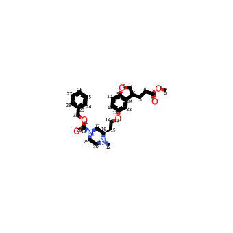 COC(=O)CCC1COc2ccc(OCC[C@@H]3CN(C(=O)OCc4ccccc4)CCN3C)cc21